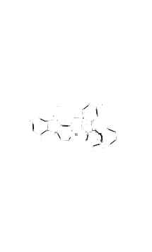 Fn1c2ccccc2c2ccnc(CC3(Cc4ccccc4)C=CC=CC3Cc3ccccc3)c21